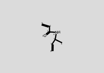 C=CC(=O)NC(C)C=C